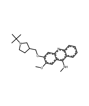 CNc1c2ccccc2nc2cc(OCC3CCN(C(C)(C)C)C3)c(OC)cc12